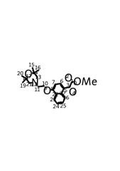 COC(=O)C(=O)c1ccc(OCCN2CC(C)(C)OC(C)(C)C2)c2ccccc12